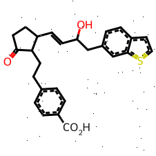 O=C(O)c1ccc(CCC2C(=O)CCC2C=CC(O)Cc2ccc3ccsc3c2)cc1